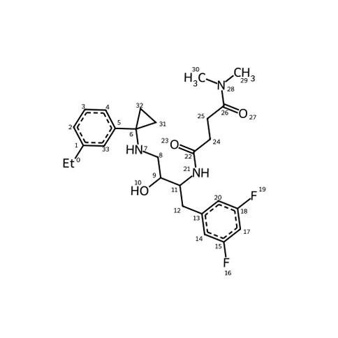 CCc1cccc(C2(NCC(O)C(Cc3cc(F)cc(F)c3)NC(=O)CCC(=O)N(C)C)CC2)c1